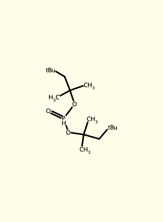 CC(C)(C)CC(C)(C)O[PH](=O)OC(C)(C)CC(C)(C)C